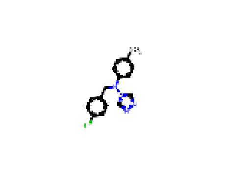 O=[N+]([O-])c1ccc(N(Cc2ccc(Cl)cc2)n2cnnc2)cc1